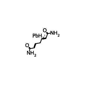 NC(=O)C=CCC=CC(N)=O.[PbH2]